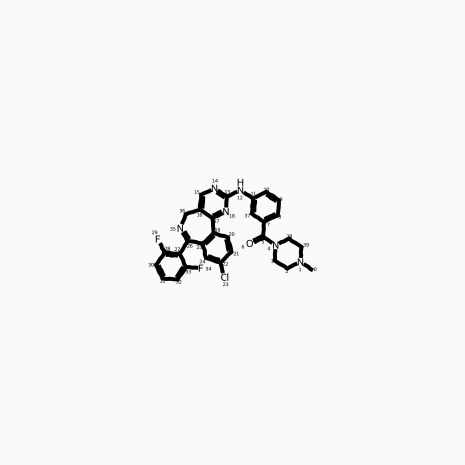 CN1CCN(C(=O)c2cccc(Nc3ncc4c(n3)-c3ccc(Cl)cc3C(c3c(F)cccc3F)=NC4)c2)CC1